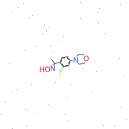 CC(=NO)c1ccc(N2CCOCC2)cc1F